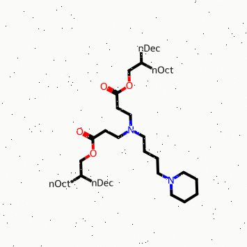 CCCCCCCCCCC(CCCCCCCC)COC(=O)CCN(CCCCN1CCCCC1)CCC(=O)OCC(CCCCCCCC)CCCCCCCCCC